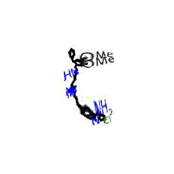 COc1cc(CCNCCCCc2cn(CCCCC3=CC4Cc5nc6cc(Cl)ccc6c(N)c5C(C3)C4)nn2)c(Cc2ccccc2)cc1OC